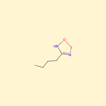 [CH2]CCCC1=NSON1